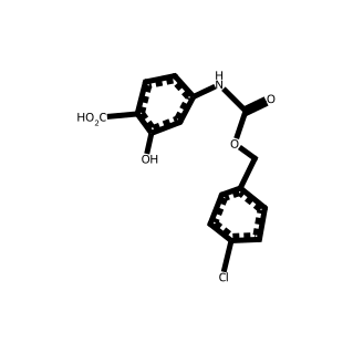 O=C(Nc1ccc(C(=O)O)c(O)c1)OCc1ccc(Cl)cc1